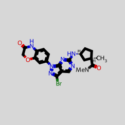 CNC(=O)[C@]1(C)CC[C@@H](Nc2ncc3c(Br)nn(-c4ccc5c(c4)OCC(=O)N5)c3n2)C1